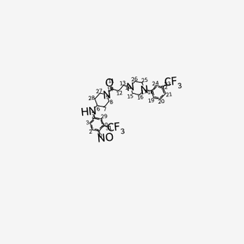 O=Nc1ccc(NC2CCN(C(=O)CCN3CCN(c4cccc(C(F)(F)F)c4)CC3)CC2)cc1C(F)(F)F